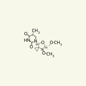 COC[C@H]1O[C@@H](n2cc(C)c(=O)[nH]c2=O)C2(CC2)[C@@H]1OC